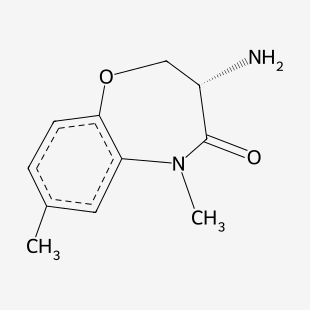 Cc1ccc2c(c1)N(C)C(=O)[C@@H](N)CO2